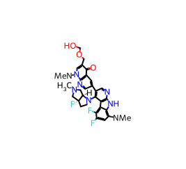 CNc1cc(F)c(F)c2c1[nH]c1ncc(-c3cnc4c(c3)c(=O)c(COCO)cn4NC)c(N3CC[C@@]4(F)CN(C)C[C@@H]34)c12